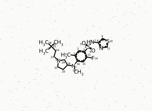 Cc1cc(S(=O)(=O)Nc2cscn2)c(F)cc1N(C)C1CCN(CCC(C)(C)C)C1